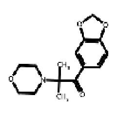 CC(C)(C(=O)c1ccc2c(c1)OCO2)N1CCOCC1